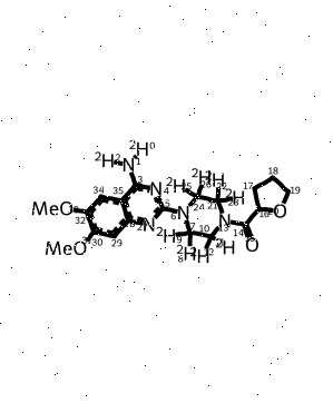 [2H]N([2H])c1nc(N2C([2H])([2H])C([2H])([2H])N(C(=O)C3CCCO3)C([2H])([2H])C2([2H])[2H])nc2cc(OC)c(OC)cc12